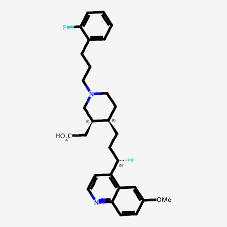 COc1ccc2nccc([C@@H](F)CC[C@@H]3CCN(CCCc4ccccc4F)C[C@@H]3CC(=O)O)c2c1